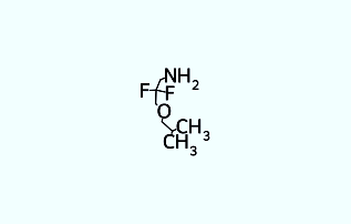 CC(C)COCC(F)(F)CN